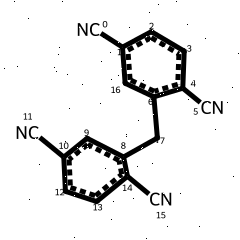 N#Cc1ccc(C#N)c([CH]c2cc(C#N)ccc2C#N)c1